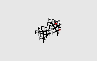 FC(F)(F)C(F)(C(F)(F)F)C(F)(C(F)(F)F)C(F)(F)F.FC(F)(F)C1(F)C(F)(F)C(F)(F)C1(F)C(F)(F)F